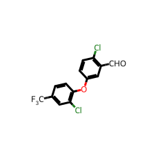 O=Cc1cc(Oc2ccc(C(F)(F)F)cc2Cl)ccc1Cl